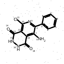 Nc1c(-c2ccccc2)nc(Cl)c2c(=O)[nH][nH]c(=O)c12